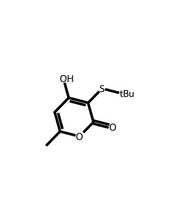 Cc1cc(O)c(SC(C)(C)C)c(=O)o1